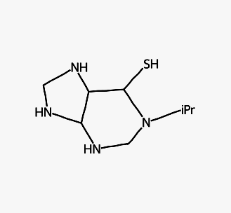 CC(C)N1CNC2NCNC2C1S